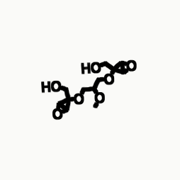 COC(COC1(CO)C2OC21)COC1(CO)C2OC21